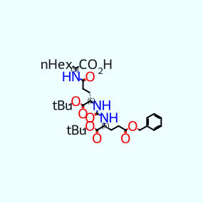 CCCCCC[C@H](NC(=O)CC[C@H](NC(=O)N[C@@H](CCC(=O)OCc1ccccc1)C(=O)OC(C)(C)C)C(=O)OC(C)(C)C)C(=O)O